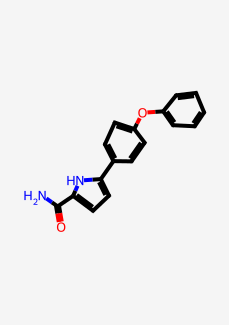 NC(=O)c1ccc(-c2ccc(Oc3ccccc3)cc2)[nH]1